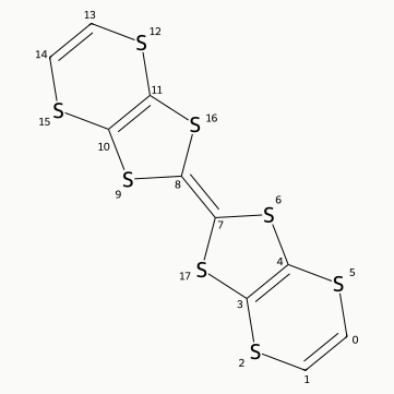 C1=CSC2=C(S1)SC(=C1SC3=C(SC=CS3)S1)S2